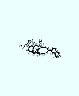 C[C@H]1CCC(c2ccc3ccncc3c2)CC/C=C2/C=C3CCC(N(C)C)C[C@]34CC[C@@]21O4